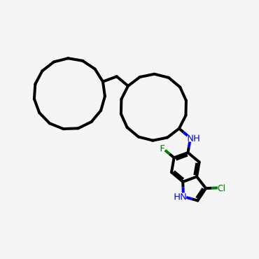 Fc1cc2[nH]cc(Cl)c2cc1NC1CCCCCCC(CC2CCCCCCCCCCCCCC2)CCCCCC1